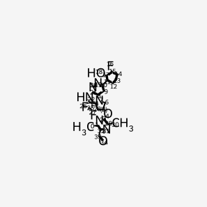 Cc1nc(O[C@H]2CN3c4cc(-c5cccc(F)c5O)nnc4NC[C@]3(C(F)F)C2)c(C)nc1C=O